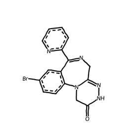 O=C1CN2C(=NN1)CN=C(c1ccccn1)c1cc(Br)ccc12